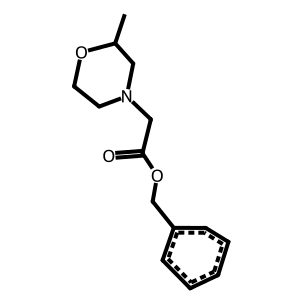 CC1CN(CC(=O)OCc2ccccc2)CCO1